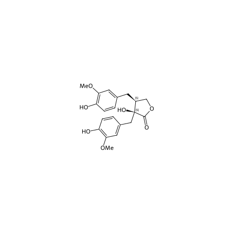 COc1cc(C[C@H]2COC(=O)[C@]2(O)Cc2ccc(O)c(OC)c2)ccc1O